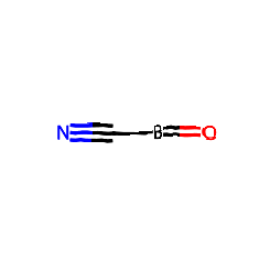 N#CB=O